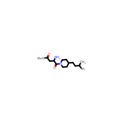 COC(=O)CC(N)C(=O)N1CCC(CCC(C)C(C)C)CC1